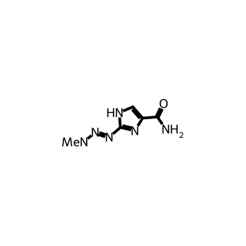 CNN=Nc1nc(C(N)=O)c[nH]1